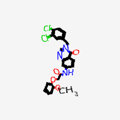 COc1ccccc1OCC(=O)Nc1ccc2c(=O)n(Cc3ccc(Cl)c(Cl)c3)cnc2c1